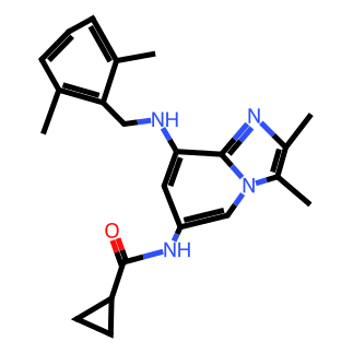 Cc1cccc(C)c1CNc1cc(NC(=O)C2CC2)cn2c(C)c(C)nc12